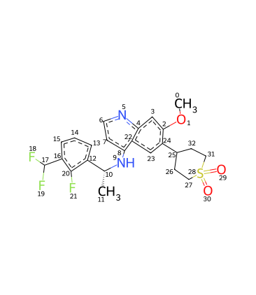 COc1cc2nccc(N[C@H](C)c3cccc(C(F)F)c3F)c2cc1C1CCS(=O)(=O)CC1